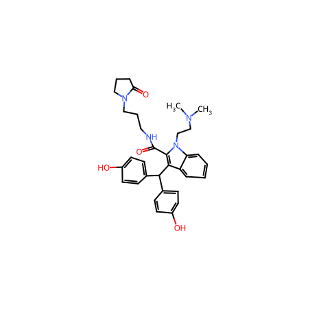 CN(C)CCn1c(C(=O)NCCCN2CCCC2=O)c(C(c2ccc(O)cc2)c2ccc(O)cc2)c2ccccc21